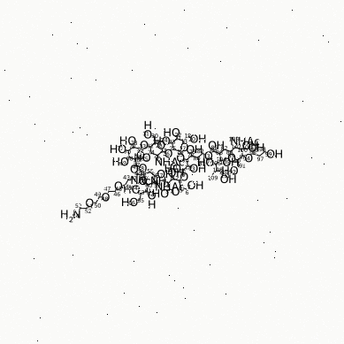 CC(=O)NC1C(O)OC(CO)C(OC(O)C(O)C(O[C@H]2O[C@@H](CO)C(O)C(O)C2OC2OC(CO)C(OC3OC(CO[C@]4(C(=O)NCCOCCOCCOCCN)C[C@@H](O)C(NC(C)=O)C([C@H](O)[C@H](O)CO)O4)C(O)C(O)C3O)C(O)C2NC(C)=O)C(O)C(C)COC(O)C(CC2OC(CO)C(O[C@H](O)CCO)C(O)C2NC(C)=O)C(O)C(O)C(C)CO)C1O